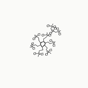 C[Si](Cl)(Cl)CCc1c(CC[Si](C)(Cl)Cl)c(CC[Si](C)(Cl)Cl)c(CC[Si](C)(Cl)Cl)c(CC[Si](C)(Cl)Cl)c1CC[Si](C)(Cl)Cl.C[Si](Cl)(Cl)C[Si](Cl)(Cl)C[Si](C)(Cl)Cl